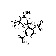 CC1(C)N=C(N)O[C@](C)(c2cc(C(N)=O)ccc2F)C1(F)F.O=CO